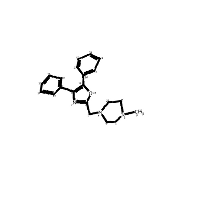 CN1CCN(Cc2nc(-c3ccccc3)c(-c3ccccc3)o2)CC1